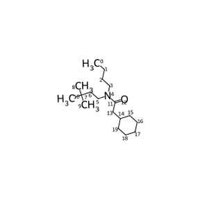 CCCCN(CCC(C)(C)C)C(=O)CC1CCCCC1